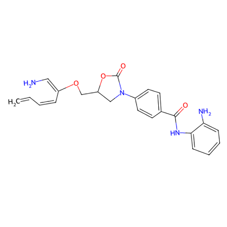 C=C/C=C\C(=C/N)OCC1CN(c2ccc(C(=O)Nc3ccccc3N)cc2)C(=O)O1